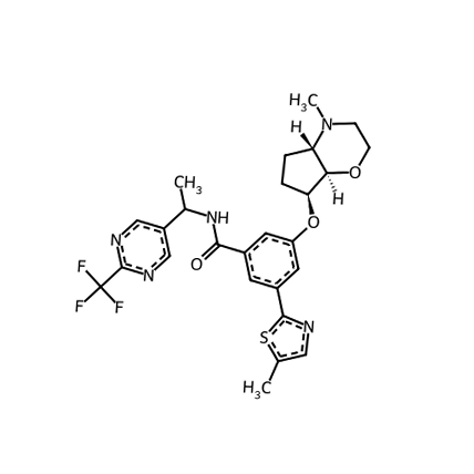 Cc1cnc(-c2cc(O[C@H]3CC[C@H]4[C@H]3OCCN4C)cc(C(=O)NC(C)c3cnc(C(F)(F)F)nc3)c2)s1